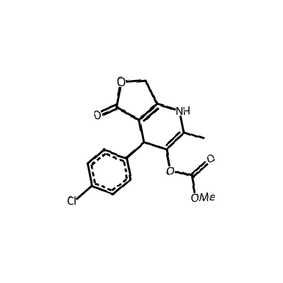 COC(=O)OC1=C(C)NC2=C(C(=O)OC2)C1c1ccc(Cl)cc1